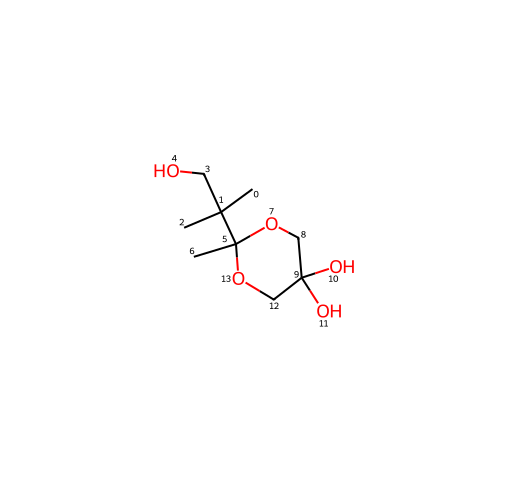 CC(C)(CO)C1(C)OCC(O)(O)CO1